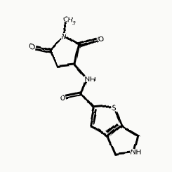 CN1C(=O)CC(NC(=O)c2cc3c(s2)CNC3)C1=O